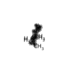 Cc1ccc(N(c2ccccc2)c2ccc3c(c2)C(C)(C)c2nc4c(cc2-3)C(C)(C)c2cc(-c3ccc(-c5ccc(N(c6ccccc6)c6ccccc6)c6ccccc56)c5ccccc35)ccc2-4)cc1